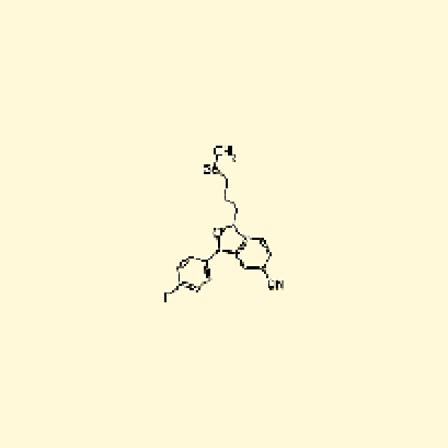 C[Se]CCCC1OC(c2ccc(F)cc2)c2cc(C#N)ccc21